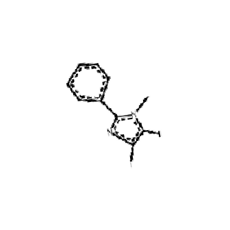 Cn1c(-c2ccccc2)nc(I)c1I